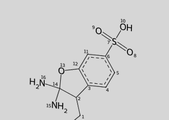 CCC1c2ccc(S(=O)(=O)O)cc2OC1(N)N